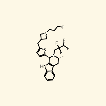 C[C@@H]1Cc2c([nH]c3ccccc23)[C@@H](c2ccc(CC3CN(CCCF)C3)s2)N1CC(F)(F)C(F)F